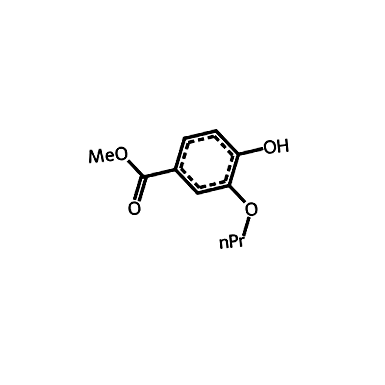 CCCOc1cc(C(=O)OC)ccc1O